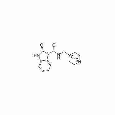 O=C(NCC12CCN(CC1)CC2)n1c(=O)[nH]c2ccccc21